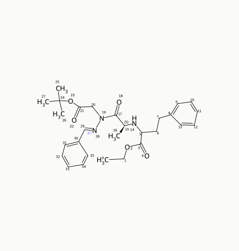 CCOC(=O)C(CCc1ccccc1)N[C@@H](C)C(=O)N(CC(=O)OC(C)(C)C)/N=C/c1ccccc1